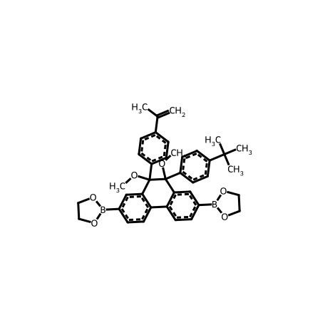 C=C(C)c1ccc(C2(OC)c3cc(B4OCCO4)ccc3-c3ccc(B4OCCO4)cc3C2(OC)c2ccc(C(C)(C)C)cc2)cc1